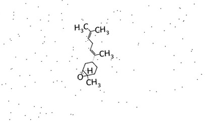 CC(C)=CCC=C(C)[C@@H]1CCC2(C)O[C@H]2C1